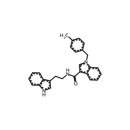 Cc1ccc(Cn2cc(C(=O)NCCc3c[nH]c4ccccc34)c3ccccc32)cc1